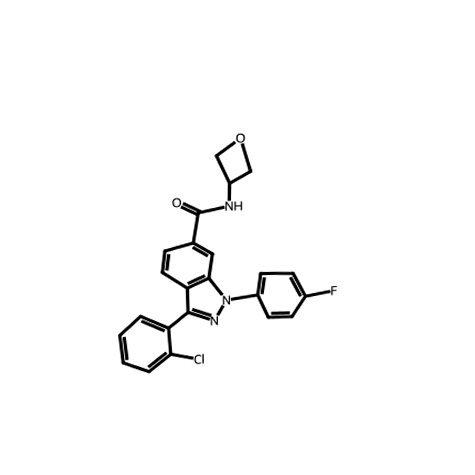 O=C(NC1COC1)c1ccc2c(-c3ccccc3Cl)nn(-c3ccc(F)cc3)c2c1